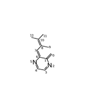 C=c1nccn/c1=C/C(C)=C(C)C